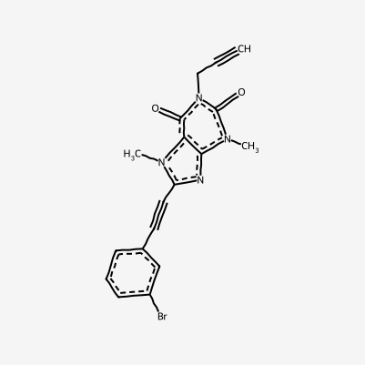 C#CCn1c(=O)c2c(nc(C#Cc3cccc(Br)c3)n2C)n(C)c1=O